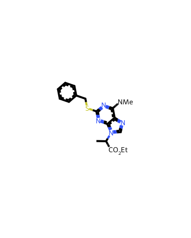 CCOC(=O)C(C)n1cnc2c(NC)nc(SCc3ccccc3)nc21